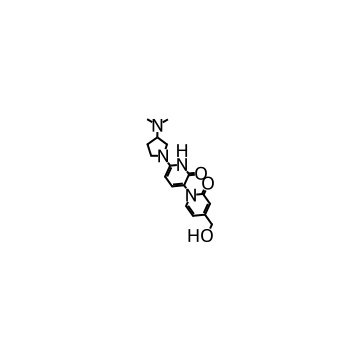 CN(C)C1CCN(c2ccc(-n3ccc(CO)cc3=O)c(=O)[nH]2)C1